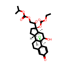 CCOC(=O)O[C@]1(C(=O)COC(=O)OC(C)C)CC[C@H]2[C@@H]3CCC4=CC(=O)C=C[C@]4(C)[C@@]3(Cl)C(O)C[C@@]21C